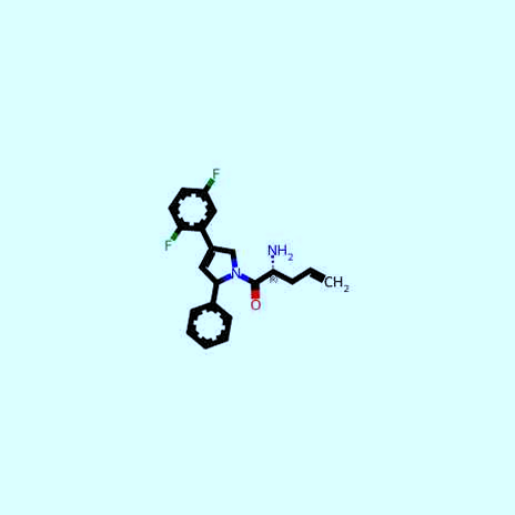 C=CC[C@@H](N)C(=O)N1CC(c2cc(F)ccc2F)=CC1c1ccccc1